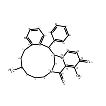 CC1CCCN2CN(C(c3ccccc3)c3ccccc3CC1)n1ccc(=O)c(O)c1C2=O